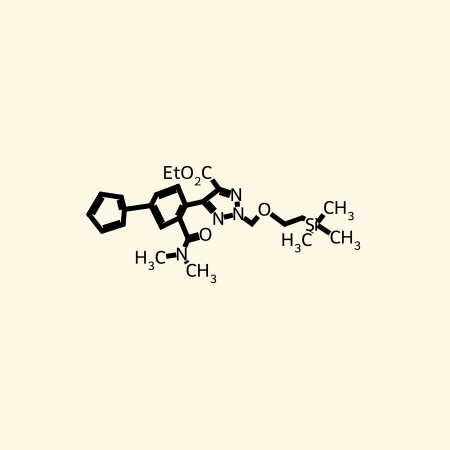 CCOC(=O)c1nn(COCC[Si](C)(C)C)nc1-c1ccc(-c2ccccc2)cc1C(=O)N(C)C